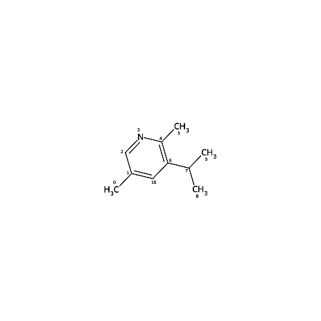 Cc1cnc(C)c(C(C)C)c1